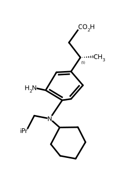 CC(C)CN(c1ccc([C@@H](C)CC(=O)O)cc1N)C1CCCCC1